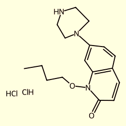 CCCCOn1c(=O)ccc2ccc(N3CCNCC3)cc21.Cl.Cl